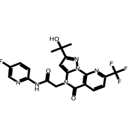 CC(C)(O)c1cc2n(CC(=O)Nc3ccc(F)cn3)c(=O)c3ccc(C(F)(F)F)nc3n2n1